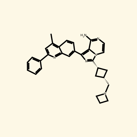 Cc1cc(-c2ccccc2)nc2cc(-c3nc([C@H]4C[C@@H](CN5CCC5)C4)n4ccnc(N)c34)ccc12